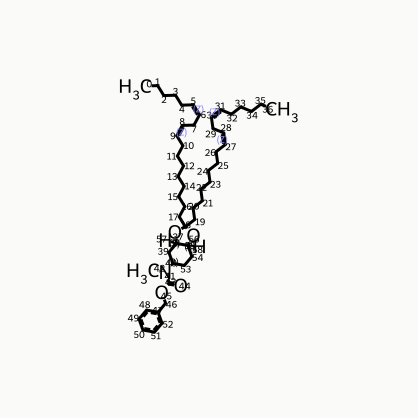 CCCCC/C=C\C/C=C\CCCCCCCCC1(CCCCCCCC/C=C\C/C=C\CCCCC)O[C@H]2C[C@H](N(C)C(=O)OCc3ccccc3)CC[C@H]2O1